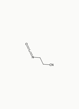 N#CCCN=C=O